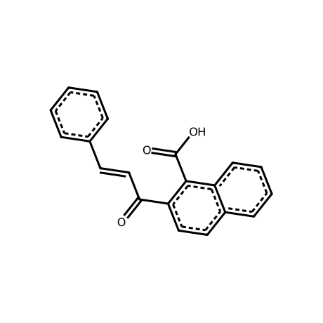 O=C(C=Cc1ccccc1)c1ccc2ccccc2c1C(=O)O